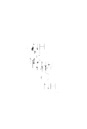 Nc1ccc(S(=O)(=O)Nc2nnc(CS(N)(=O)=O)s2)cc1